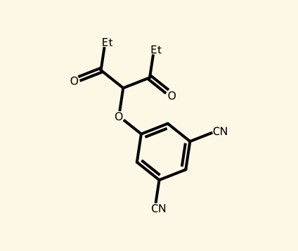 CCC(=O)C(Oc1cc(C#N)cc(C#N)c1)C(=O)CC